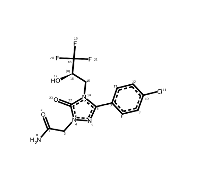 NC(=O)Cn1nc(-c2ccc(Cl)cc2)n(C[C@@H](O)C(F)(F)F)c1=O